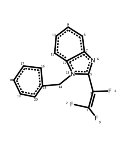 FC(F)=C(F)c1nc2ccccc2n1Cc1ccccc1